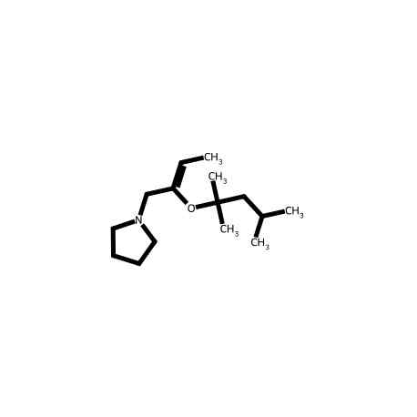 CC=C(CN1CCCC1)OC(C)(C)CC(C)C